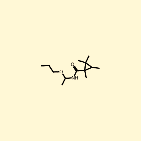 CCCOC(C)NC(=O)C1(C)C(C)C1(C)C